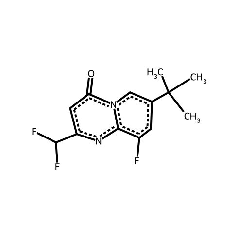 CC(C)(C)c1cc(F)c2nc(C(F)F)cc(=O)n2c1